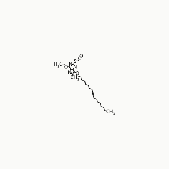 CCCCCCCCC#CCCCCCCCCOc1c2nc(SC=C=O)nc(OCC)c2nn1C